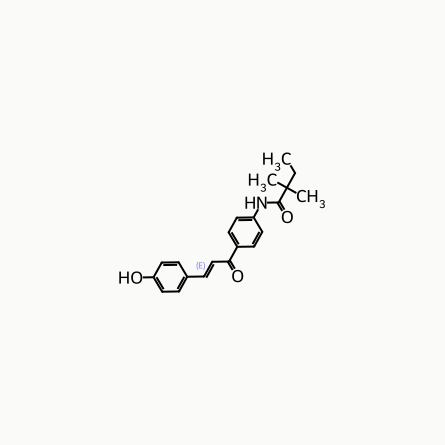 CCC(C)(C)C(=O)Nc1ccc(C(=O)/C=C/c2ccc(O)cc2)cc1